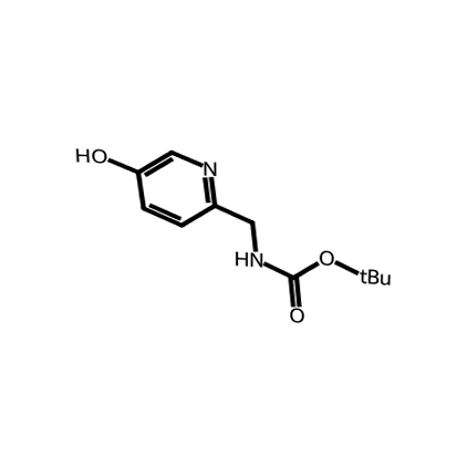 CC(C)(C)OC(=O)NCc1ccc(O)cn1